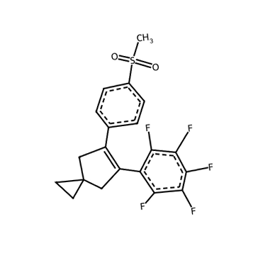 CS(=O)(=O)c1ccc(C2=C(c3c(F)c(F)c(F)c(F)c3F)CC3(CC3)C2)cc1